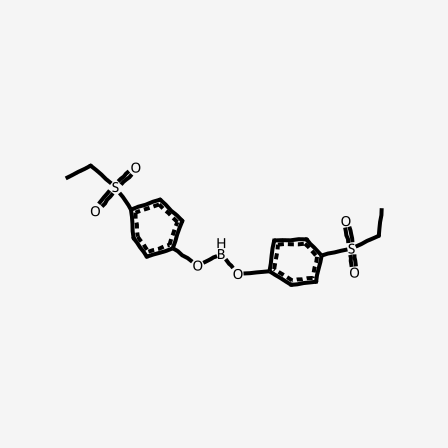 CCS(=O)(=O)c1ccc(OBOc2ccc(S(=O)(=O)CC)cc2)cc1